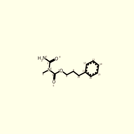 CN(C(N)=O)C(=O)OCCCc1ccccc1